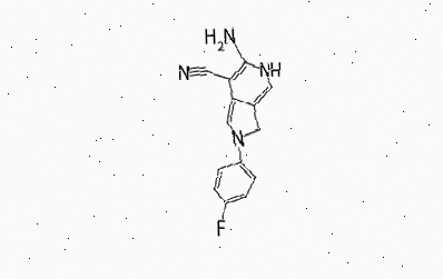 N#CC1=C(N)NC=C2CN(c3ccc(F)cc3)C=C21